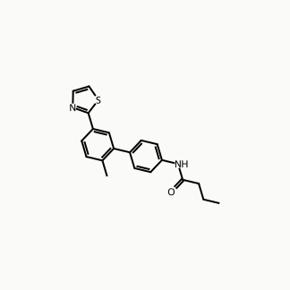 CCCC(=O)Nc1ccc(-c2cc(-c3nccs3)ccc2C)cc1